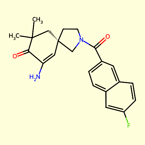 CC1(C)C[C@]2(C=C(N)C1=O)CCN(C(=O)c1ccc3cc(F)ccc3c1)C2